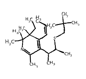 C/C=C\C1=C(C(C)[C@H](C)SCC(C)(C)C)C(C)=NC(C)(C)C1(C)CC